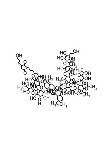 CCC(OC1OC(C)C(OC(C)=O)C(OC(O)C(O)C(O)C(C)O)C1O)C(O)C(OC1OC(C)C(OC(O)/C(O)=C(/OC(O)/C(O)=C(/O)C(O)CCO)C(C)O)C(O)C1O)C(O)OC(=O)[C@@]1(O)C[C@]2(C)C(=CCC3[C@@]4(C)CC[C@H](OC5OC(C(=O)O)C(O)C(OC(O)C(O)C(O)C(C)O)C5OC5OC(CO)C(O)C(O)C5O)[C@@](C)(/C=N/NC(=O)CCCCCN5C(=O)C=C(SCCO)C5=O)C4CC[C@]32C)C2CC(C)(C)CCC21